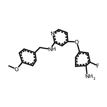 COc1ccc(CNc2cc(Oc3ccc(N)c(F)c3)ccn2)cc1